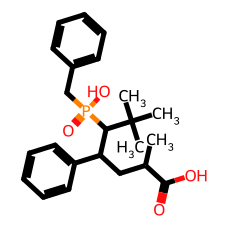 CC(CC(c1ccccc1)C(C(C)(C)C)P(=O)(O)Cc1ccccc1)C(=O)O